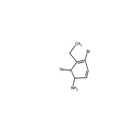 [2H]N1C(CC)=C(Br)C=CC1N